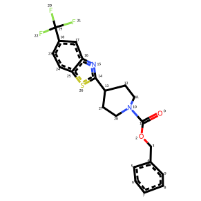 O=C(OCc1ccccc1)N1CCC(c2nc3cc(C(F)(F)F)ccc3s2)CC1